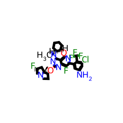 CN1c2nc(OC[C@@]34CCCN3C[C@H](F)C4)nc3c(F)c(-c4cc(N)cc(Cl)c4C(F)(F)F)nc(c23)O[C@H]2CCCC[C@@H]21